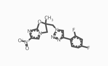 CC1(Cn2cc(-c3ccc(F)cc3F)nn2)Cn2cc([N+](=O)[O-])nc2O1